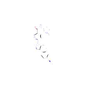 Cc1cc(C#N)ccc1-c1cnn(-c2ccc(C(=O)N(C)C3CCN(C)C3)cn2)c1O